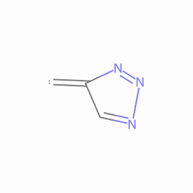 [C]=C1C=NN=N1